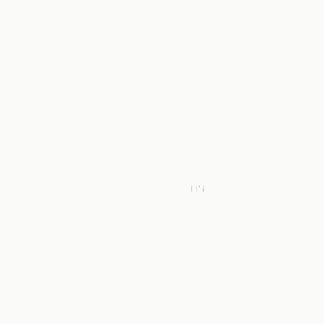 Cc1cccc(CCNC(=O)CCCCCCCCC(C)C)c1